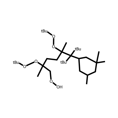 CC1CC(C(C(C)(C)C)(C(C)(C)C)C(C)(CCC(C)(COO)OOC(C)(C)C)OOC(C)(C)C)CC(C)(C)C1